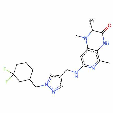 Cc1nc(NCc2cnn(CC3CCCC(F)(F)C3)c2)cc2c1NC(=O)C(C(C)C)N2C